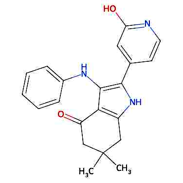 CC1(C)CC(=O)c2c([nH]c(-c3ccnc(O)c3)c2Nc2ccccc2)C1